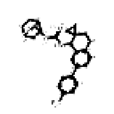 O=C(NC1c2cc(-c3ccc(C(F)(F)F)cc3)ccc2CCC12CC2)O[C@H]1CN2CCC1CC2